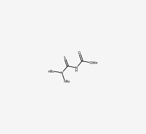 CCCCN(CCCC)C(=S)NC(=O)OC